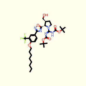 CCCCCCCCOc1ccc(-c2noc([C@@H]3[C@@H](CO)CCN3/C(=N/C(=O)OC(C)(C)C)NC(=O)OC(C)(C)C)n2)cc1C(F)(F)F